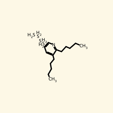 CCCCCc1cccnc1CCCCC.S.S.S.S